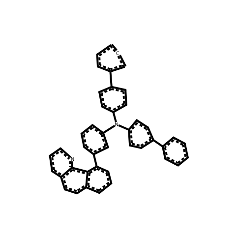 c1ccc(-c2ccc(N(c3ccc(-c4ccccc4)cc3)c3cccc(-c4cccc5ccc6cccnc6c45)c3)cc2)cc1